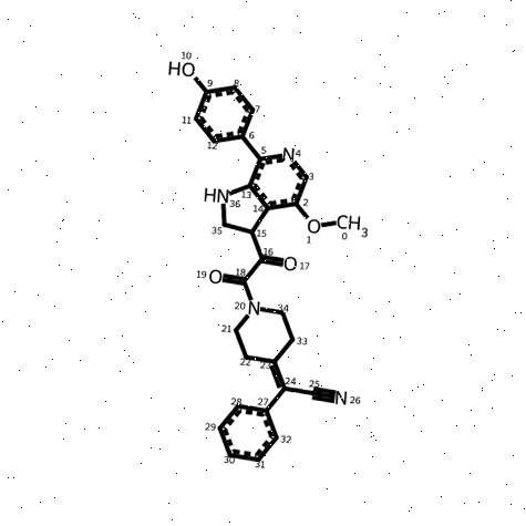 COc1cnc(-c2ccc(O)cc2)c2c1C(C(=O)C(=O)N1CCC(=C(C#N)c3ccccc3)CC1)CN2